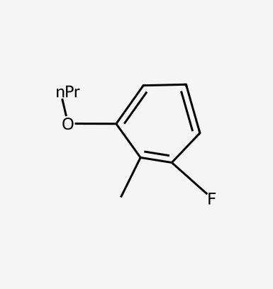 CCCOc1cccc(F)c1C